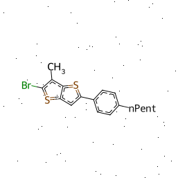 CCCCCc1ccc(-c2cc3sc(Br)c(C)c3s2)cc1